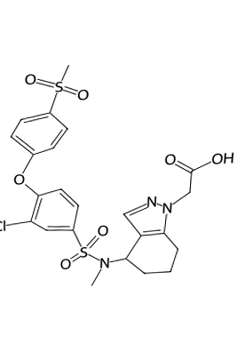 CN(C1CCCc2c1cnn2CC(=O)O)S(=O)(=O)c1ccc(Oc2ccc(S(C)(=O)=O)cc2)c(Cl)c1